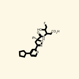 CC(C)[C@@]1(C(=O)NC(CC(=O)O)C(O)CF)CC(c2cc(C3CCCC3)ccn2)=NO1